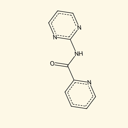 O=C(Nc1ncccn1)c1ccccn1